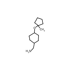 CC1(OC2CCC(C[SiH3])CC2)CCCC1